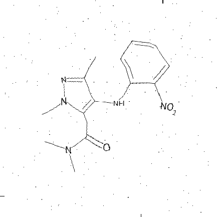 Cc1nn(C)c(C(=O)N(C)C)c1Nc1ccccc1[N+](=O)[O-]